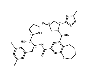 Cc1csc([C@H]2C[C@H](F)CN2C(=O)c2cc(C(=O)N[C@@H](Cc3cc(F)cc(F)c3)[C@H](O)[C@H]3CCCN3)cc3c2CCCCO3)n1